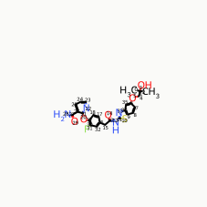 CC(C)(O)COc1ccc2sc(NC(=O)Cc3ccc(Oc4ncccc4C(N)=O)c(F)c3)nc2c1